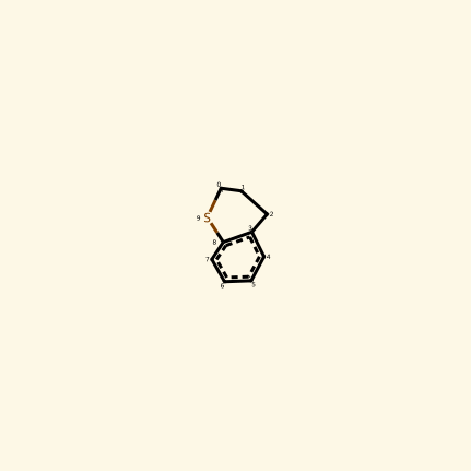 [C]1CCc2ccccc2S1